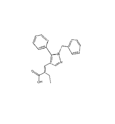 CCC(=Cc1cnn(Cc2ccccc2)c1-c1ccccc1)C(=O)O